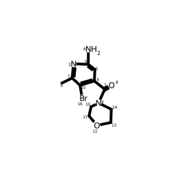 Cc1nc(N)cc(C(=O)N2CCOCC2)c1Br